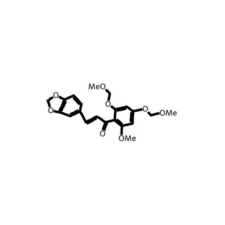 COCOc1cc(OC)c(C(=O)/C=C/c2ccc3c(c2)OCO3)c(OCOC)c1